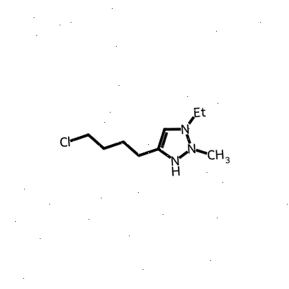 CCN1C=C(CCCCCl)NN1C